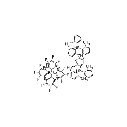 Cc1ccccc1[PH+](c1ccccc1C)c1ccccc1C.Cc1ccccc1[PH+](c1ccccc1C)c1ccccc1C.Fc1c(F)c(F)[c]([Ba-2]([c]2c(F)c(F)c(F)c(F)c2F)([c]2c(F)c(F)c(F)c(F)c2F)[c]2c(F)c(F)c(F)c(F)c2F)c(F)c1F